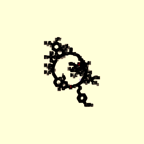 C=C1C(O[Si](CC)(CC)CC)C[C@@H]2OC3C[C@@H](C)[C@@H](CCC)O[C@H]3[C@H](C)[C@H]2OC(=O)CC2CC[C@@H]3O[C@H]([C@@H](O[Si](C)(C)C(C)(C)C)[C@@H](O[Si](C)(C)C(C)(C)C)[C@H]3O2)[C@@H](O[Si](C)(C)C(C)(C)C)/C=C/C(OCc2ccc(OC)cc2)CC[C@H]2C[C@]3(CI)OC(CC[C@@H]3O2)C[C@H]1C